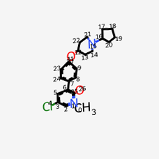 Cn1cc(Cl)cc(-c2ccc(OC3CCN(C4CCCC4)CC3)cc2)c1=O